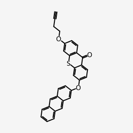 C#CCCOc1ccc2c(=O)c3ccc(Oc4ccc5cc6ccccc6cc5c4)cc3sc2c1